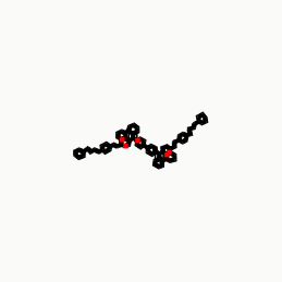 C(/C=C/c1ccc(/C=C/c2ccc(N(c3ccc(-c4ccc(N(c5ccc(/C=C/c6ccc(/C=C/C=C/c7ccccc7)cc6)cc5)c5ccccc5-c5ccccc5)cc4)cc3)c3ccccc3-c3ccccc3)cc2)cc1)=C\c1ccccc1